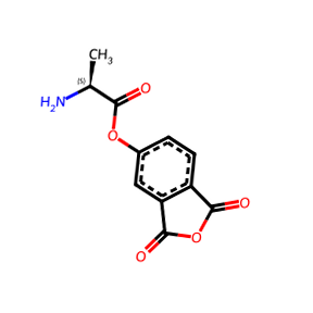 C[C@H](N)C(=O)Oc1ccc2c(c1)C(=O)OC2=O